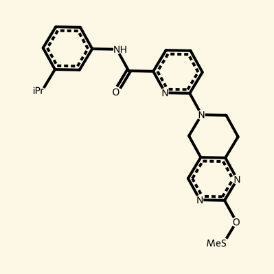 CSOc1ncc2c(n1)CCN(c1cccc(C(=O)Nc3cccc(C(C)C)c3)n1)C2